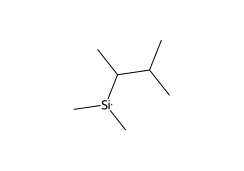 CC(C)C(C)[Si](C)C